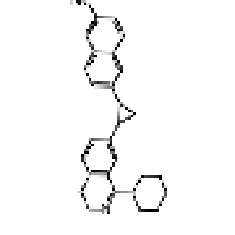 N#Cc1ccc2cc(C3CC3c3ccc4c(c3)C(C3CCCCC3)=NCC4)ccc2c1